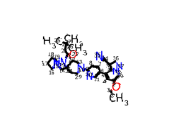 CCOc1cc(-c2ccc(N3CCC(CN4CCCC4)(NC(=O)CC(C)(C)C)CC3)nc2)c2c(C#N)cnn2c1